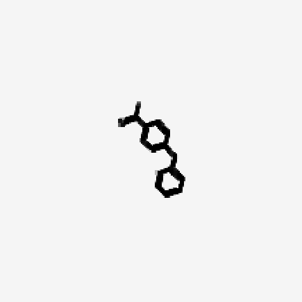 CC(=O)c1ccc(Cc2[c]cccc2)cc1